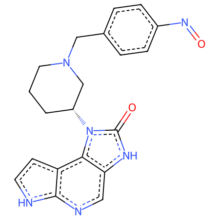 O=Nc1ccc(CN2CCC[C@@H](n3c(=O)[nH]c4cnc5[nH]ccc5c43)C2)cc1